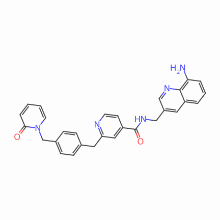 Nc1cccc2cc(CNC(=O)c3ccnc(Cc4ccc(Cn5ccccc5=O)cc4)c3)cnc12